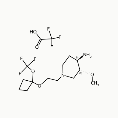 CO[C@@H]1CN(CCOC2(OC(F)(F)F)CCC2)CC[C@H]1N.O=C(O)C(F)(F)F